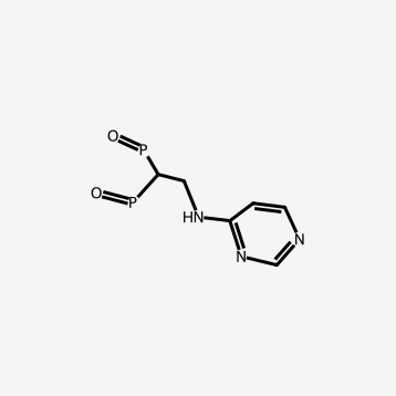 O=PC(CNc1ccncn1)P=O